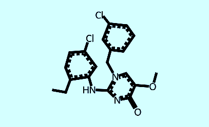 CCc1ccc(Cl)cc1Nc1nc(=O)c(OC)cn1Cc1cccc(Cl)c1